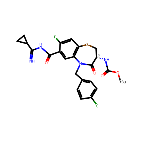 CC(C)(C)OC(=O)N[C@H]1CSc2cc(F)c(C(=O)NC(=N)C3CC3)cc2N(Cc2ccc(Cl)cc2)C1=O